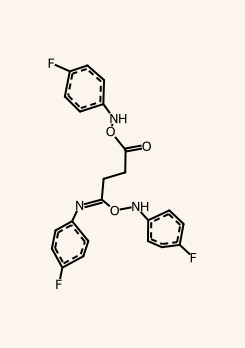 O=C(CCC(=Nc1ccc(F)cc1)ONc1ccc(F)cc1)ONc1ccc(F)cc1